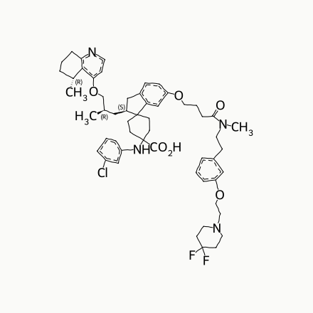 C[C@@H](COc1ccnc2c1[C@H](C)CCC2)C[C@H]1Cc2ccc(OCCCC(=O)N(C)CCc3cccc(OCCN4CCC(F)(F)CC4)c3)cc2C12CCC(Nc1cccc(Cl)c1)(C(=O)O)CC2